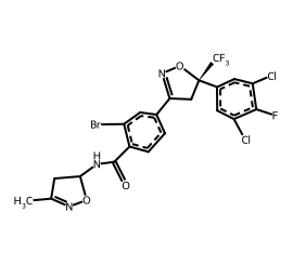 CC1=NOC(NC(=O)c2ccc(C3=NO[C@@](c4cc(Cl)c(F)c(Cl)c4)(C(F)(F)F)C3)cc2Br)C1